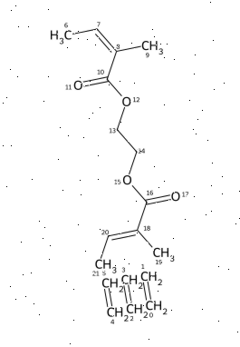 C=C.C=C.C=C.CC=C(C)C(=O)OCCOC(=O)C(C)=CC